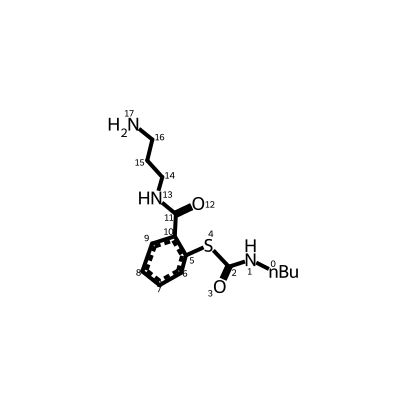 CCCCNC(=O)Sc1ccccc1C(=O)NCCCN